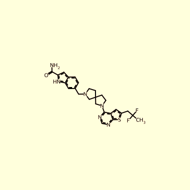 CC(F)(F)Cc1cc2c(N3CCC4(CCN(Cc5ccc6cc(C(N)=O)[nH]c6c5)C4)C3)ncnc2s1